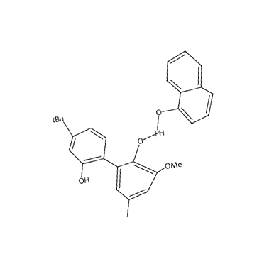 COc1cc(C)cc(-c2ccc(C(C)(C)C)cc2O)c1OPOc1cccc2ccccc12